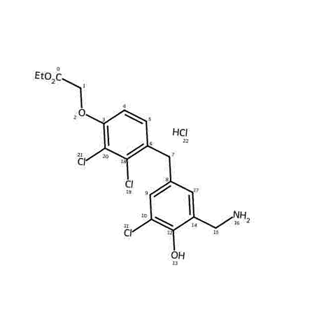 CCOC(=O)COc1ccc(Cc2cc(Cl)c(O)c(CN)c2)c(Cl)c1Cl.Cl